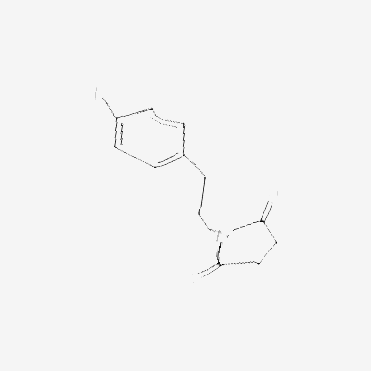 O=C1CCC(=O)N1CCc1ccc(F)cc1